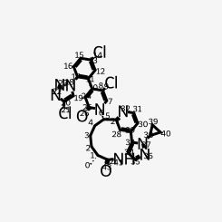 C[C@@H]1CCC[C@H](n2cc(Cl)c(-c3cc(Cl)ccc3-n3cc(Cl)nn3)cc2=O)c2cc(ccn2)-c2c(cnn2C2CC2)NC1=O